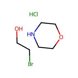 C1COCCN1.Cl.OCCBr